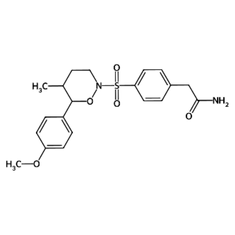 COc1ccc(C2ON(S(=O)(=O)c3ccc(CC(N)=O)cc3)CCC2C)cc1